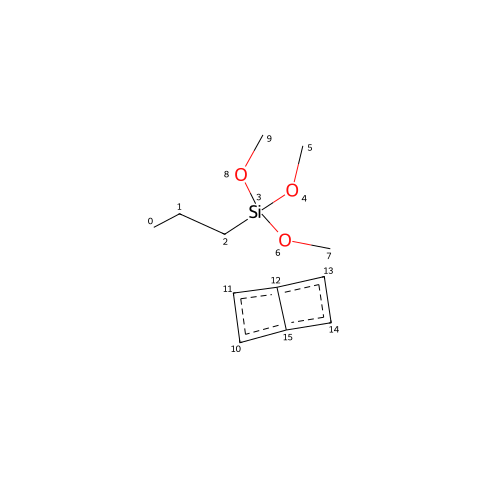 CCC[Si](OC)(OC)OC.c1cc2ccc1-2